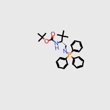 CC(C)(C)OC(=O)N[C@@H](CN=P(c1ccccc1)(c1ccccc1)c1ccccc1)C(C)(C)C